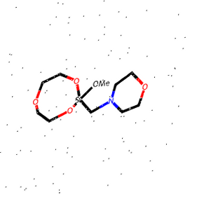 CO[Si]1(CN2CCOCC2)OCCOCCO1